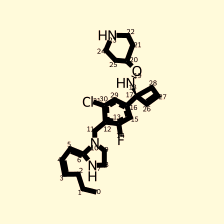 CCC/C=C\C=C1/NCCN1Cc1c(F)cc([C@@]2(NOC3CCNCC3)C=CC2)cc1Cl